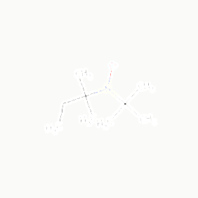 CCC(C)(C)N([O])C(C)(C)C